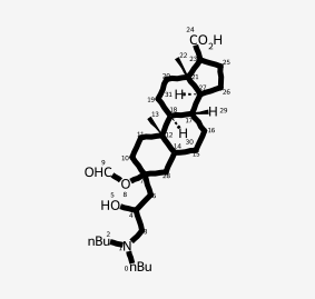 CCCCN(CCCC)CC(O)CC1(OC=O)CC[C@@]2(C)C(CC[C@@H]3[C@@H]2CC[C@]2(C)C(C(=O)O)CC[C@@H]32)C1